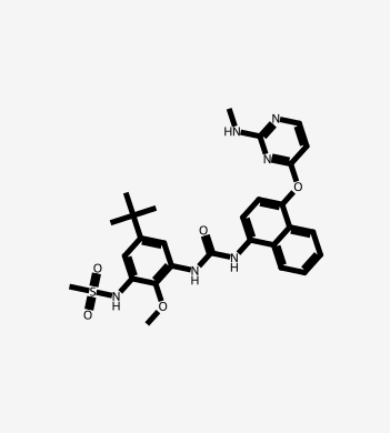 CNc1nccc(Oc2ccc(NC(=O)Nc3cc(C(C)(C)C)cc(NS(C)(=O)=O)c3OC)c3ccccc23)n1